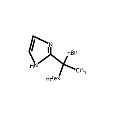 CCCCCCC(C)(CCCC)c1ncc[nH]1